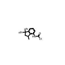 CCCC1(CCC)CC(C)c2c(NC(=O)CC)cccc21